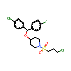 O=S(=O)(CCCCl)N1CCC(OC(c2ccc(Cl)cc2)c2ccc(Cl)cc2)CC1